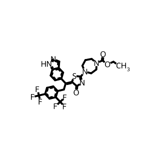 CCOC(=O)N1CCCN(C2=NC(=O)C(=C(Cc3ccc(C(F)(F)F)cc3C(F)(F)F)c3ccc4[nH]ncc4c3)S2)CC1